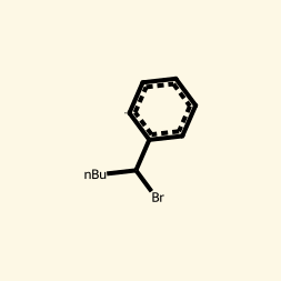 CCCCC(Br)c1[c]cccc1